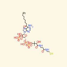 CC(C)CCCCCCC(=O)C1(N)N=CN=C2C1=NCN2[C@@H]1O[C@H](COP(=O)(O)OP(=O)(O)OCC(C)(C)C(O)C(=O)NCCC(=O)NCCS)[C@@H](OP(=O)(O)O)[C@H]1O